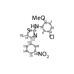 COc1ccc(Cl)cc1Nc1nc(-c2cccc([N+](=O)[O-])c2)c(C)s1